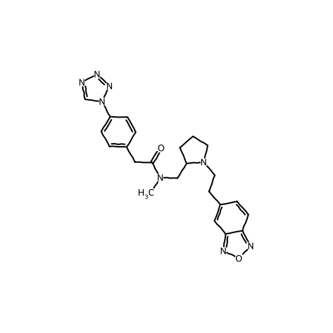 CN(CC1CCCN1CCc1ccc2nonc2c1)C(=O)Cc1ccc(-n2cnnn2)cc1